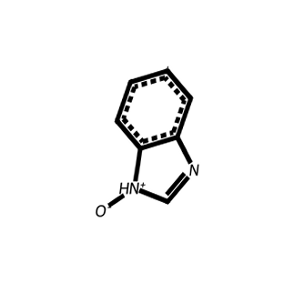 [O-][NH+]1C=Nc2c[c]ccc21